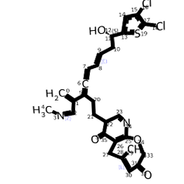 C=C(/C=N\C)C(=C=C/C=C/C[C@H](O)c1cc(Cl)c(Cl)s1)CCC1C=NC2=C(C/C(C)=C/C(=O)CO2)C1=O